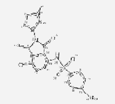 Cn1cnc(N2C(=O)c3c(Cl)ccc(NS(=O)(=O)c4ccc(C(C)(C)C)cc4)c3C2=O)n1